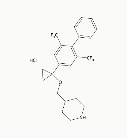 Cl.FC(F)(F)c1cc(C2(OCC3CCNCC3)CC2)cc(C(F)(F)F)c1-c1ccccc1